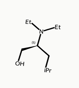 CCN(CC)[C@H](CO)CC(C)C